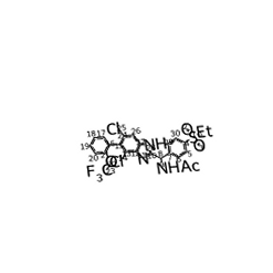 CCS(=O)(=O)c1ccc(C(NC(C)=O)c2nc3c(Cl)c(-c4ccccc4OC(F)(F)F)c(Cl)cc3[nH]2)cc1